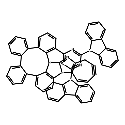 C1#CCc2nc3n(c2C=C1)c1cccc2c4ccccc4c4ccccc4c4cccc(-c5nc(-n6c7c(c8ccccc86)C=CCC7)nc(-n6c7ccccc7c7ccccc76)n5)c4n3c21